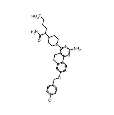 NC(=O)C(CCCC(=O)O)N1CCN(c2nc(N)nc3c2CCc2cc(OCc4ccc(Cl)cc4)ccc2-3)CC1